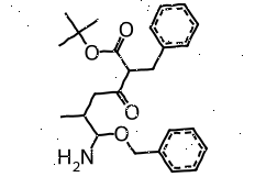 CC(CC(=O)C(Cc1ccccc1)C(=O)OC(C)(C)C)C(N)OCc1ccccc1